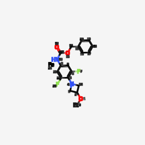 CCOC1CN(c2c(F)cc(NC(=O)OCc3ccccc3)cc2F)C1.[Fe]